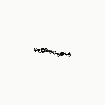 c1cc(OCC2CO2)ccc1OCCOCCOCCOc1ccc(OCC2CO2)cc1